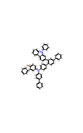 c1ccc(-c2ccc(N(c3ccc(-c4ccc(-c5ccccc5)cc4-c4ccc5c6ccccc6n(-c6ccccc6)c5c4)cc3)c3ccc4sc5ccccc5c4c3)cc2)cc1